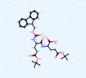 CC(C)(C)OC(=O)CCC(NC(=O)C(CCC(=O)OC(C)(C)C)NC(=O)OCC1c2ccccc2-c2ccccc21)C(=O)O